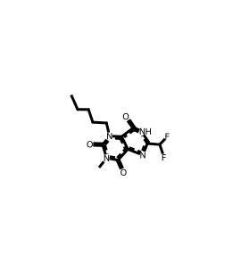 CCCCCn1c(=O)n(C)c(=O)c2nc(C(F)F)[nH]c(=O)c21